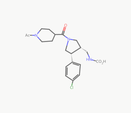 CC(=O)N1CCC(C(=O)N2C[C@H](CNC(=O)O)[C@H](c3ccc(Cl)cc3)C2)CC1